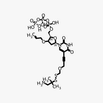 C=CCOC1C[C@H](n2cc(C#CCOCSSC(C)(C)CN)c(=O)[nH]c2=O)O[C@@H]1COP(=O)(O)OP(=O)(O)OP(=O)(O)O